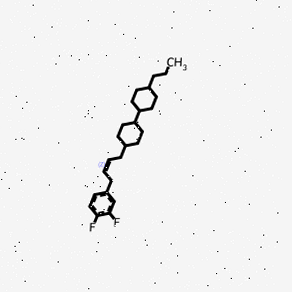 CCCC1CCC(C2CCC(C/C=C\Cc3ccc(F)c(F)c3)CC2)CC1